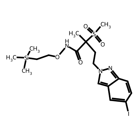 CC(CCn1cc2cc(I)ccc2n1)(C(=O)NOCC[Si](C)(C)C)S(C)(=O)=O